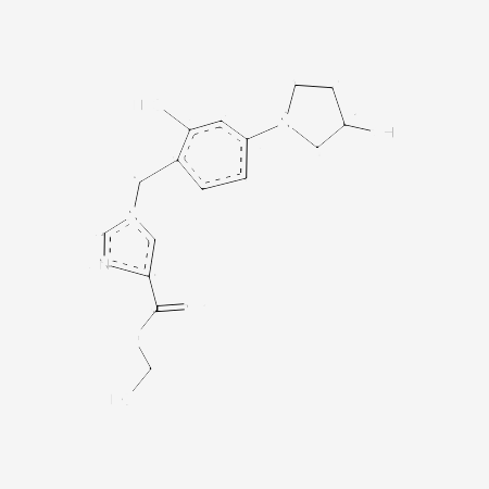 CCOC(=O)c1cn(Cc2ccc(N3CCC(C)C3)cc2C)cn1